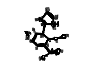 O=C=C1C(C(=O)[O-])=CC=CC1c1ncc[nH]1.[K+]